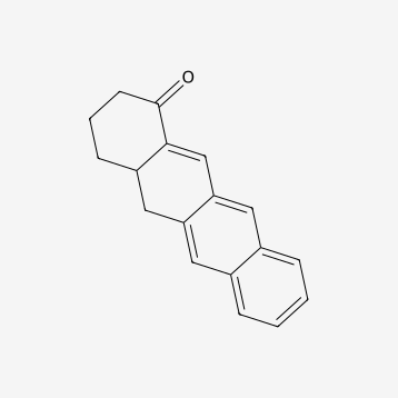 O=C1CCCC2Cc3cc4ccccc4cc3C=C12